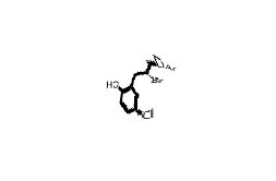 CC(=O)OC[C@H](Br)Cc1cc(Cl)ccc1O